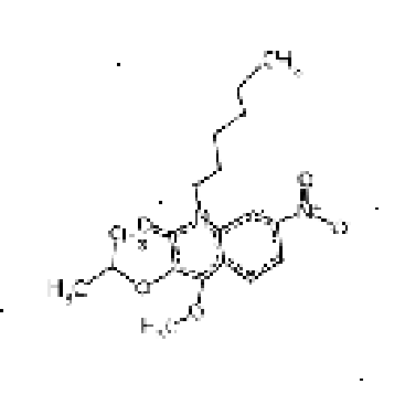 CCCCCCn1c(=O)c(OC(C)C)c(OC)c2ccc([N+](=O)[O-])cc21